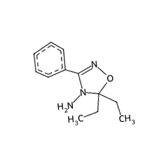 CCC1(CC)ON=C(c2ccccc2)N1N